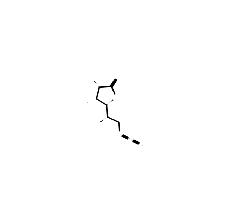 [N-]=[N+]=NC[C@@H](O)[C@@H]1OC(=O)[C@H](O)[C@H]1O